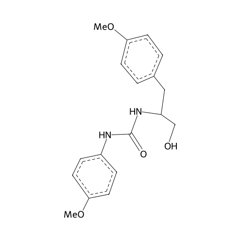 COc1ccc(CC(CO)NC(=O)Nc2ccc(OC)cc2)cc1